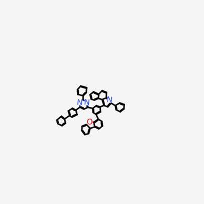 c1ccc(-c2ccc(-c3cc(-c4cc(-c5cccc6c5oc5ccccc56)cc(-c5cc(-c6ccccc6)nc6ccc7ccccc7c56)c4)nc(-c4ccccc4)n3)cc2)cc1